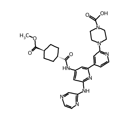 COC(=O)[C@H]1CC[C@H](C(=O)Nc2cc(Nc3cnccn3)nc(-c3ccnc(N4CCN(C(=O)O)CC4)c3)c2)CC1